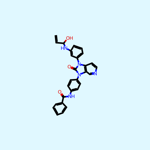 C=CC(O)Nc1cccc(-n2c(=O)n(-c3ccc(NC(=O)c4ccccc4)cc3)c3cnccc32)c1